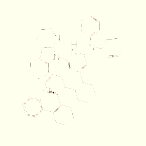 CC1CCCC(C2=CC=CCC2C2CCCCC2C2=CC(N3C4=C(C=CCC4)C4CCC=CC43)NC(N3C4=C(CCCC4)C4CCC=NC43)=C2)=C1c1ccccc1C#N